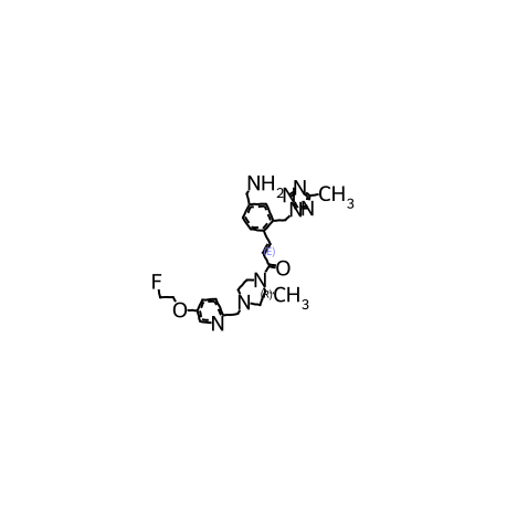 Cc1nnn(Cc2cc(CN)ccc2/C=C/C(=O)N2CCN(Cc3ccc(OCCF)cn3)C[C@H]2C)n1